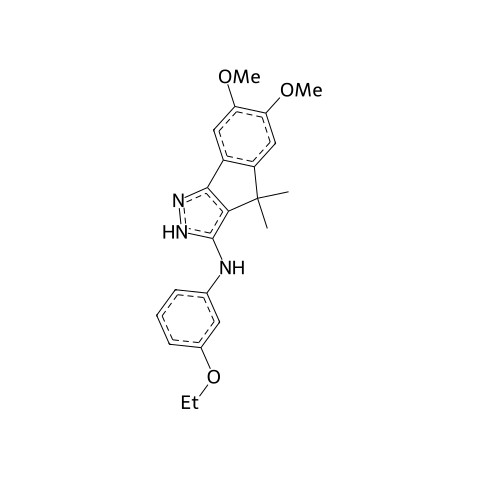 CCOc1cccc(Nc2[nH]nc3c2C(C)(C)c2cc(OC)c(OC)cc2-3)c1